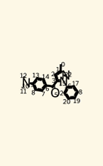 Cc1cc(C(=O)c2ccc(N(C)C)cc2)n(-c2ccccc2)n1